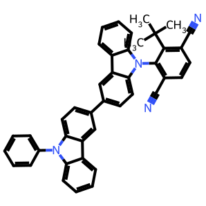 CC(C)(C)c1c(C#N)ccc(C#N)c1-n1c2ccccc2c2cc(-c3ccc4c(c3)c3ccccc3n4-c3ccccc3)ccc21